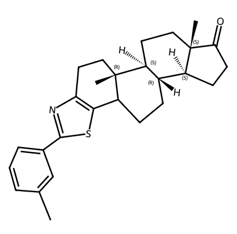 Cc1cccc(-c2nc3c(s2)C2CC[C@@H]4[C@H](CC[C@]5(C)C(=O)CC[C@@H]45)[C@@]2(C)CC3)c1